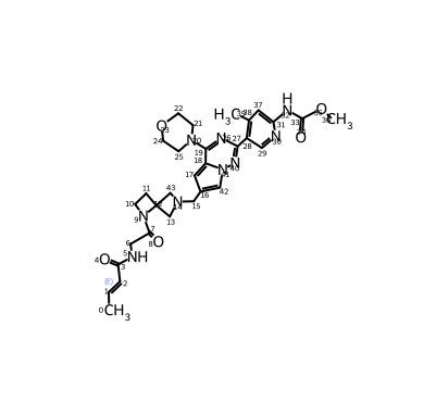 C/C=C/C(=O)NCC(=O)N1CCC12CN(Cc1cc3c(N4CCOCC4)nc(-c4cnc(NC(=O)OC)cc4C)nn3c1)C2